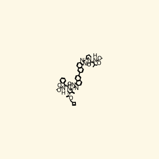 C=C(OCC1C=CC1)[C@@H]1CN(C(=O)[C@H](NC(=O)OC)c2ccccc2)[C@H](c2nc3ccc4cc(-c5ccc6c(ccc7nc([C@@H]8CCCN8C(=O)[C@@H](NC(=O)OC)C(C)C)[nH]c76)c5)ccc4c3[nH]2)C1=C